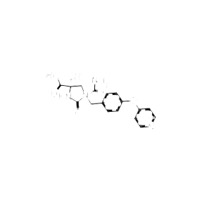 C[C@]1(C(=O)O)C[N+](Cc2ccc(Oc3ccncc3)cc2)(C(N)=O)C(=O)N1